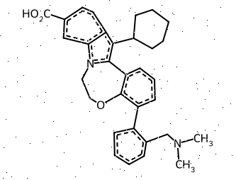 CN(C)Cc1ccccc1-c1cccc2c1OCCn1c-2c(C2CCCCC2)c2ccc(C(=O)O)cc21